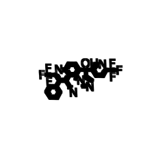 Cn1cncc1C(O)(c1ccc(C(F)(F)F)nc1)c1ccc2nc(C(F)(F)F)c(-c3ccccc3)c(C#N)c2c1